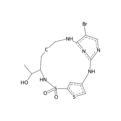 CC(O)C1CCCNc2nc(ncc2Br)Nc2csc(c2)S(=O)(=O)N1